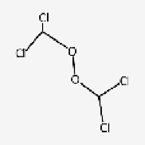 ClC(Cl)OOC(Cl)Cl